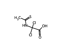 CC(=S)NC(Cl)(Cl)C(=O)O